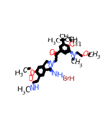 Br.CCOc1cc2c(cc1CC(=O)NC)C(=N)N(CC(=O)c1cc(N(C)CCOC)c(OC)c(C(C)(C)C)c1)C2